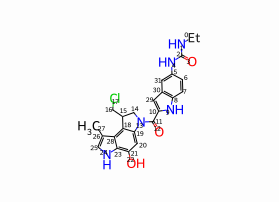 CCNC(=O)Nc1ccc2[nH]c(C(=O)N3CC(CCl)c4c3cc(O)c3[nH]cc(C)c43)cc2c1